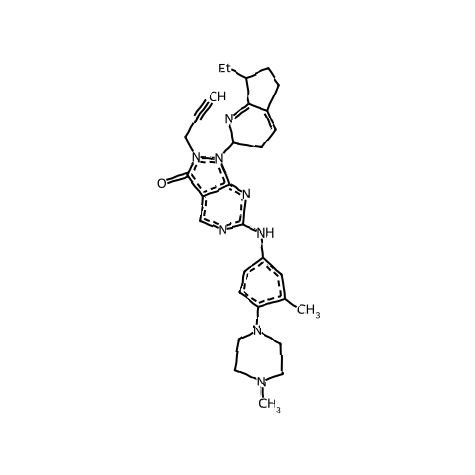 C#CCn1c(=O)c2cnc(Nc3ccc(N4CCN(C)CC4)c(C)c3)nc2n1C1CC=C2CCC(CC)C2=N1